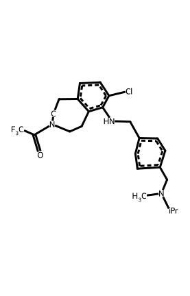 CC(C)N(C)Cc1ccc(CNc2c(Cl)ccc3c2CCN(C(=O)C(F)(F)F)CC3)cc1